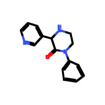 O=C1C(c2cccnc2)NCCN1c1ccccc1